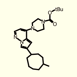 CC1CCCCC(c2cc3c(N4CCN(C(=O)OC(C)(C)C)CC4)ccnn3c2)CC1